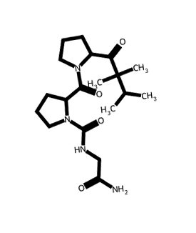 CC(C)C(C)(C)C(=O)C1CCCN1C(=O)C1CCCN1C(=O)NCC(N)=O